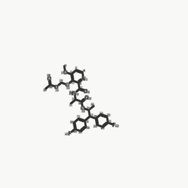 COc1ccnc(C(=O)NC(C)C(=O)O[C@@H](C)C(c2ccc(F)cc2)c2ccc(F)cc2)c1OCOC(C)=O